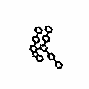 C1=CC(c2ccccc2)CC=C1c1nc(-c2ccc(-c3ccccc3)cc2)nc(-c2c(-c3ccc(-c4ccccc4)cc3)ccc3oc4ccccc4c23)n1